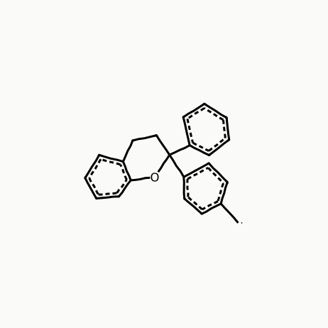 [CH2]c1ccc(C2(c3ccccc3)CCc3ccccc3O2)cc1